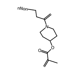 C=C(C)C(=O)OC1CCN(C(=C)CCCCCCCCCCC)CC1